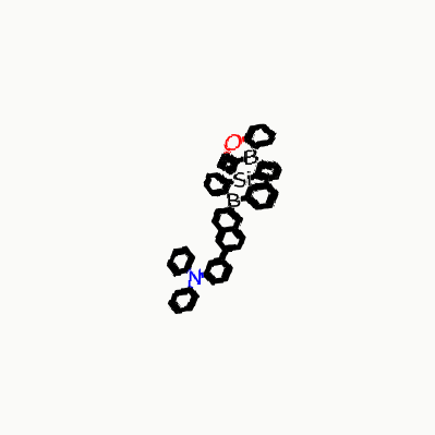 c1ccc(N(c2ccccc2)c2cccc(-c3ccc4cc(B5c6ccccc6[Si]6(c7ccccc75)c5ccccc5B5c7ccccc7Oc7cccc6c75)ccc4c3)c2)cc1